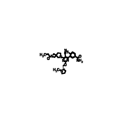 C=CC(=O)N1CC2(CCN(c3nc(OC[C@@H]4CCCN4C)nc(-c4cc(C(N)=O)ccc4F)c3C#N)C2)C1